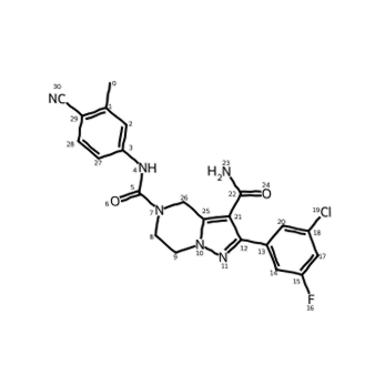 Cc1cc(NC(=O)N2CCn3nc(-c4cc(F)cc(Cl)c4)c(C(N)=O)c3C2)ccc1C#N